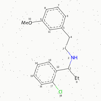 CCC(NCCc1cccc(OC)c1)c1ccccc1Cl